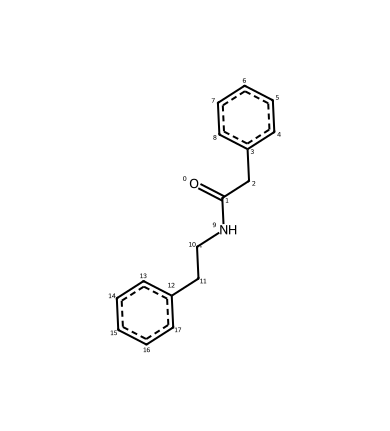 O=C(Cc1ccccc1)N[CH]Cc1ccccc1